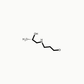 C[C@H](O)CNCCC[O]